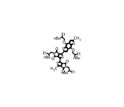 CCCCC(CC)COc1c2cc(-c3sc(-c4sc(C)c5c4C(=O)N(CC(CC)CCCC)C5=O)c4c3C(=O)N(CC(CC)CCCC)C4=O)sc2c(OCC(CC)CCCC)c2cc(C)sc12